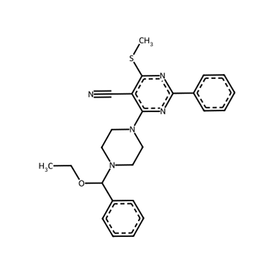 CCOC(c1ccccc1)N1CCN(c2nc(-c3ccccc3)nc(SC)c2C#N)CC1